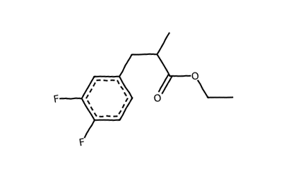 CCOC(=O)C(C)Cc1ccc(F)c(F)c1